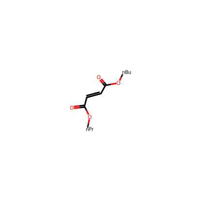 CCCCOC(=O)C=CC(=O)OCCC